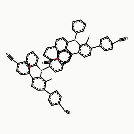 [C-]#[N+]c1ccc(-c2ccc(-c3ccc(C#N)cc3)c(N(c3ccccc3)c3ccc4ccc5c(N(c6ccccc6)c6c(-c7ccc([N+]#[C-])cc7)ccc(-c7ccc(C#N)cc7)c6F)ccc6ccc3c4c65)c2F)cc1